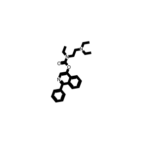 CCN(CC)CCN(CC)C(=O)Oc1cnc(-c2ccccc2)c2ccccc12